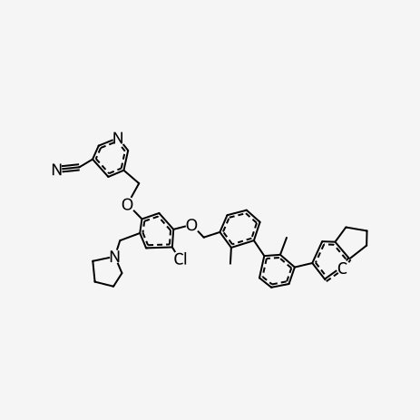 Cc1c(COc2cc(OCc3cncc(C#N)c3)c(CN3CCCC3)cc2Cl)cccc1-c1cccc(-c2ccc3c(c2)CCC3)c1C